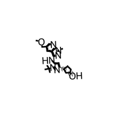 COCc1cnc2c(c1)c(Nc1cc([C@@H]3CC[C@H](O)C3)nn1C(C)(C)C)nn2C